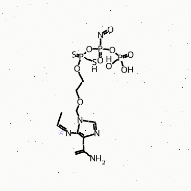 C=C(N)c1ncn(COCCOP(=S)(S)OP(=O)(N=O)OP(=O)(O)O)c1/N=C\C